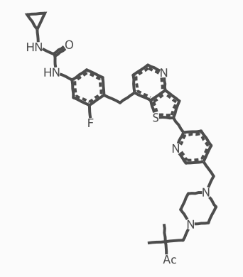 CC(=O)C(C)(C)CN1CCN(Cc2ccc(-c3cc4nccc(Cc5ccc(NC(=O)NC6CC6)cc5F)c4s3)nc2)CC1